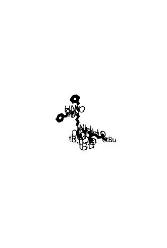 CC(C)(C)OC(=O)CCC(NC(=O)N[C@@H](CCCCNC(=O)[C@H](Cc1ccccc1)NC(=O)OCc1ccccc1)C(=O)OC(C)(C)C)C(=O)OC(C)(C)C